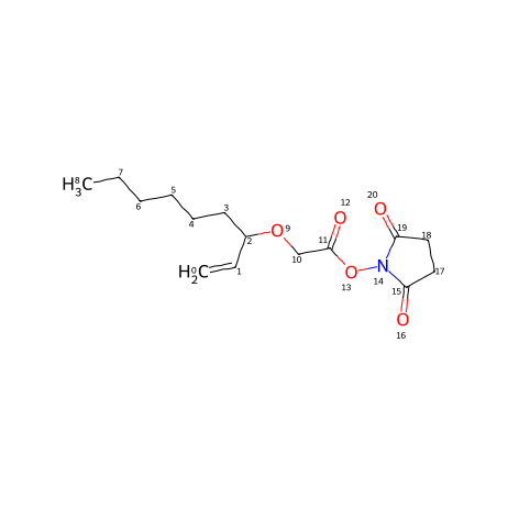 C=CC(CCCCCC)OCC(=O)ON1C(=O)CCC1=O